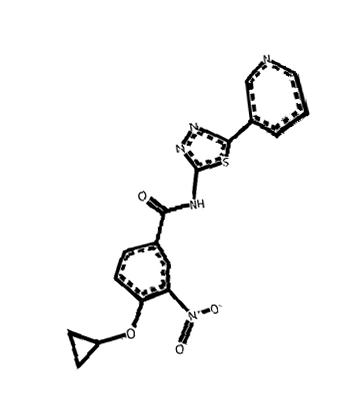 O=C(Nc1nnc(-c2cccnc2)s1)c1ccc(OC2CC2)c([N+](=O)[O-])c1